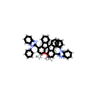 COc1ccc(-c2nc3ccccc3n2-c2ccccc2)c2c1C1(c3ccccc3-2)c2ccccc2-c2c(-c3nc4ccccc4n3-c3ccccc3)ccc(OC)c21